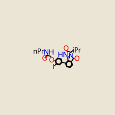 CCCNC(=O)COc1ccc(-c2cccc3c2C2NC(=O)C(C(C)C)N2C3=O)cc1I